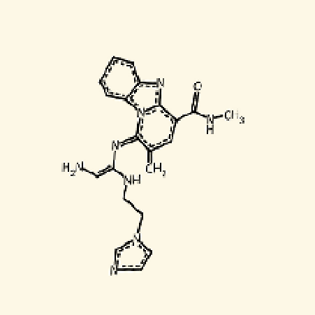 C=c1cc(C(=O)NC)c2nc3ccccc3n2/c1=N/C(=C\N)NCCn1ccnc1